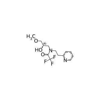 COC[C@H](O)CN(CCc1ccccn1)C(=O)C(F)(F)F